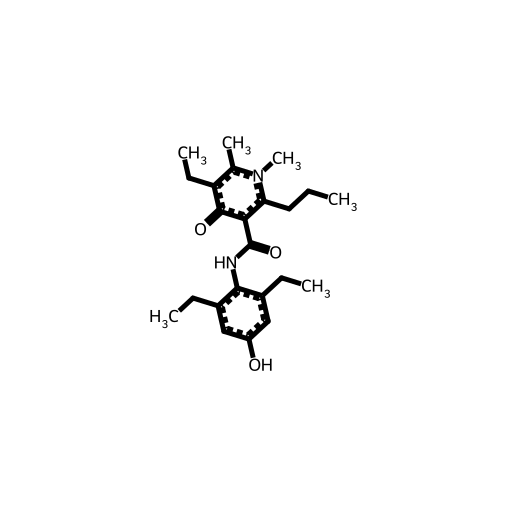 CCCc1c(C(=O)Nc2c(CC)cc(O)cc2CC)c(=O)c(CC)c(C)n1C